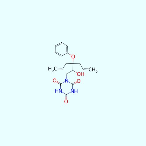 C=CCC(CC=C)(Oc1ccccc1)C(O)Cn1c(=O)[nH]c(=O)[nH]c1=O